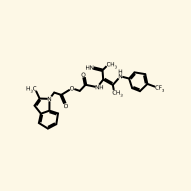 CC(=N)/C(NC(=O)COC(=O)Cn1c(C)cc2ccccc21)=C(/C)Nc1ccc(C(F)(F)F)cc1